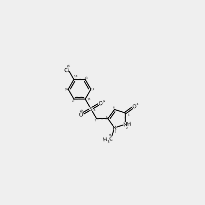 Cn1[nH]c(=O)cc1CS(=O)(=O)c1ccc(Cl)cc1